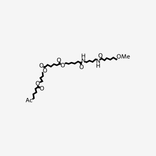 COCCCCCC(=O)NCCCCNC(=O)CCCCCOC(=O)CCCCC(=O)OCCCCOC(=O)CCCCC(C)=O